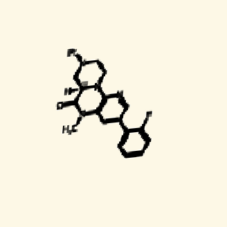 CC(C)N1CCN2c3ncc(-c4ccccc4F)cc3N(C)C(=O)[C@H]2C1